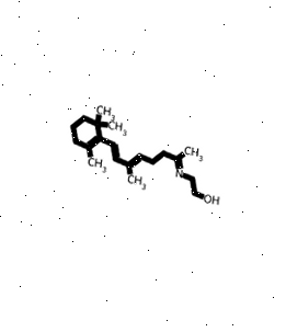 CC(C=CC1=C(C)CCCC1(C)C)=CCCC(C)=NCCO